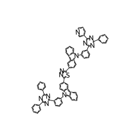 c1ccc(-c2nc(-c3ccccc3)nc(-c3cccc(-n4c5ccccc5c5cc(-c6nnc(-c7ccc8c(c7)c7ccccc7n8-c7cccc(-c8nc(-c9ccccc9)nc(-c9cccnc9)n8)c7)s6)ccc54)c3)n2)cc1